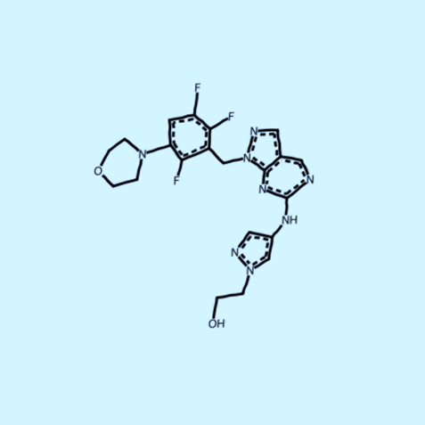 OCCn1cc(Nc2ncc3cnn(Cc4c(F)c(F)cc(N5CCOCC5)c4F)c3n2)cn1